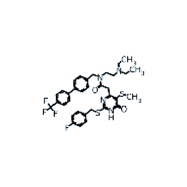 CCN(CC)CCN(Cc1ccc(-c2ccc(C(F)(F)F)cc2)cc1)C(=O)Cc1nc(SCc2ccc(F)cc2)[nH]c(=O)c1SC